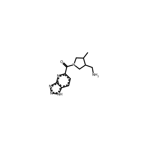 CC1CN(C(=O)c2ccc3[nH]nnc3n2)CC1CN